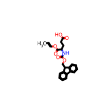 C/C=C/OC(=O)C(CCC(=O)O)NC(=O)OCC1c2ccccc2-c2ccccc21